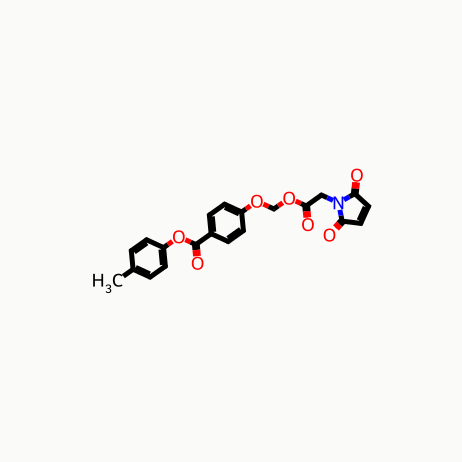 Cc1ccc(OC(=O)c2ccc(OCOC(=O)CN3C(=O)C=CC3=O)cc2)cc1